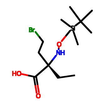 CC[C@@](CCBr)(NO[Si](C)(C)C(C)(C)C)C(=O)O